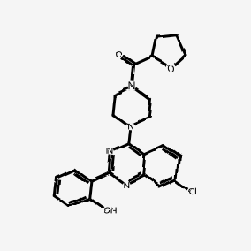 O=C(C1CCCO1)N1CCN(c2nc(-c3ccccc3O)nc3cc(Cl)ccc23)CC1